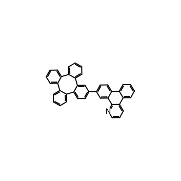 c1ccc2c(c1)-c1ccccc1-c1ccc(-c3ccc4c5ccccc5c5cccnc5c4c3)cc1-c1ccccc1-2